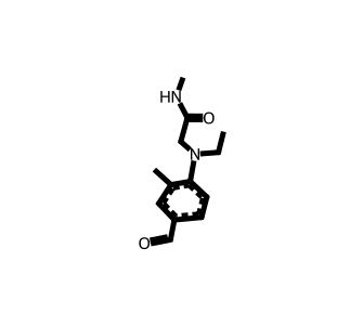 CCN(CC(=O)NC)c1ccc(C=O)cc1C